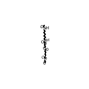 COCCOC(=O)CCCCC(=O)OCCOC(=O)NCCCCCCCNC(C)=O